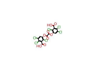 O=C(Oc1cc(Cl)c(Cl)c(C(=O)O)c1Cl)C(=O)Oc1cc(Cl)c(Cl)c(C(=O)O)c1Cl